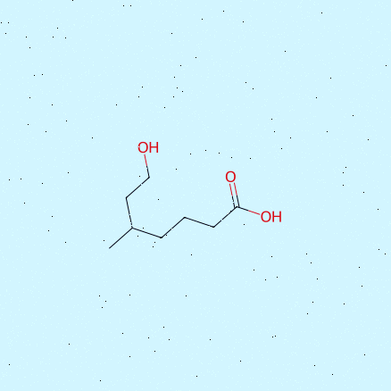 CC(CCO)CCCC(=O)O